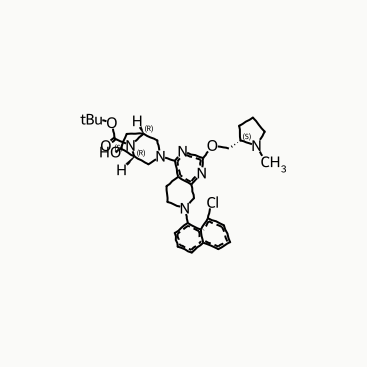 CN1CCC[C@H]1COc1nc2c(c(N3C[C@H]4C[C@H](O)[C@@H](C3)N4C(=O)OC(C)(C)C)n1)CCN(c1cccc3cccc(Cl)c13)C2